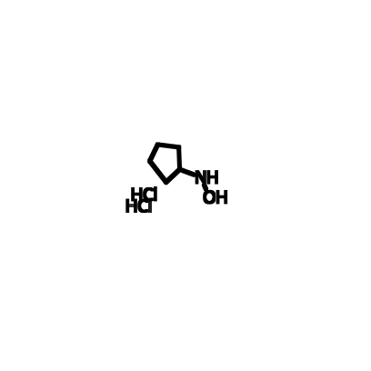 Cl.Cl.ONC1CCCC1